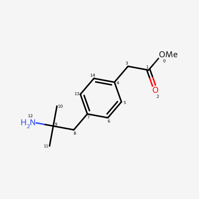 COC(=O)Cc1ccc(CC(C)(C)N)cc1